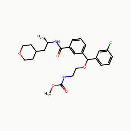 COC(=O)NCCOC(c1cccc(Cl)c1)c1cccc(C(=O)N[C@H](C)CC2CCOCC2)c1